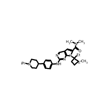 CCC1(n2c(C(=O)N(C)C)cc3cnc(Nc4ccc(C5CCN(C(C)C)CC5)cc4)nc32)CC[C@H]1C